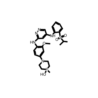 COc1cc(N2CC[P](C)(O)CC2)ccc1Nc1cc(Nc2ccccc2S(=O)(=O)C(C)C)cnn1